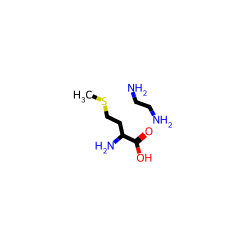 CSCCC(N)C(=O)O.NCCN